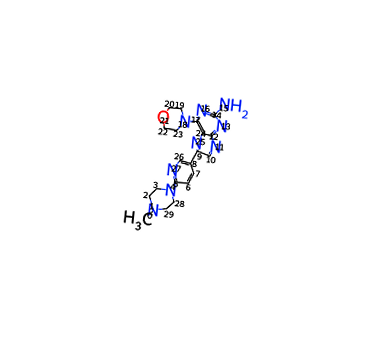 CN1CCN(c2ccc(-c3cnc4nc(N)nc(N5CCOCC5)c4n3)cn2)CC1